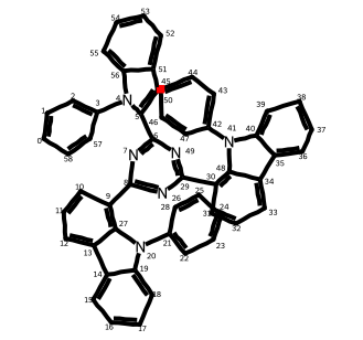 c1ccc(-n2c(-c3nc(-c4cccc5c6ccccc6n(-c6ccccc6)c45)nc(-c4cccc5c6ccccc6n(-c6ccccc6)c45)n3)cc3ccccc32)cc1